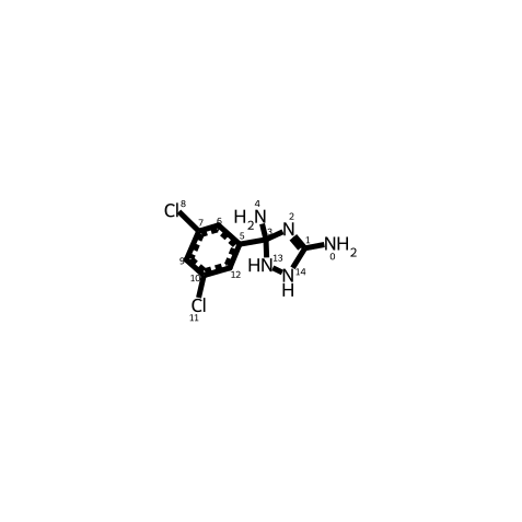 NC1=NC(N)(c2cc(Cl)cc(Cl)c2)NN1